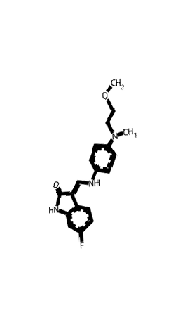 COCCN(C)c1ccc(N/C=C2/C(=O)Nc3cc(F)ccc32)cc1